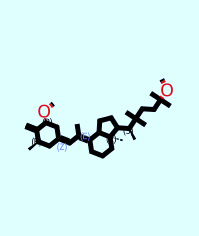 C=C1[C@H](C)C/C(=C/C(C)=C2\CCC[C@@]3(C)C2CCC3[C@H](C)C(C)(C)CCC(C)(C)OC)C[C@H]1OC